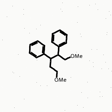 COCCC(c1ccccc1)C(COC)c1ccccc1